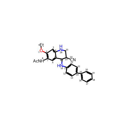 CCOc1cc2c(cc1NC(C)=O)C(Nc1ccc(-c3ccccc3)cc1)C(C#N)CN2